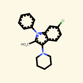 O=C(O)c1c(N2CCCCC2)c2ccc(Cl)cc2n1-c1ccccc1